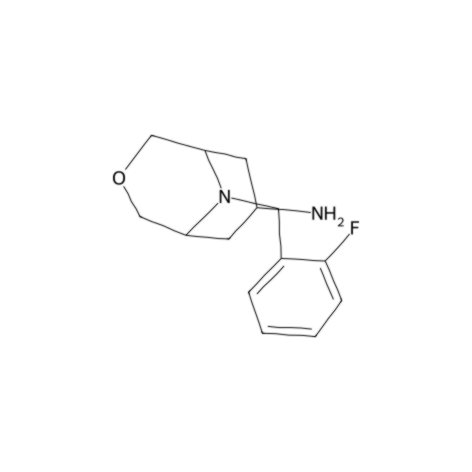 NC1CC2COCC(C1)N2Cc1ccccc1F